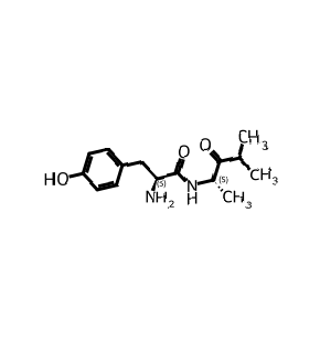 CC(C)C(=O)[C@H](C)NC(=O)[C@@H](N)Cc1ccc(O)cc1